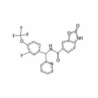 O=C(NC(c1ccc(OC(F)(F)F)c(F)c1)c1ccccn1)c1ccc2[nH]c(=O)oc2c1